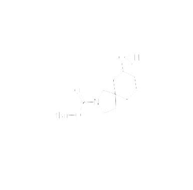 CC(C)(C)OC(=O)N1CCC2(CCCC(C(=O)O)C2)C1